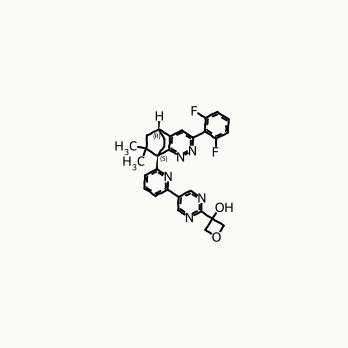 CC1(C)C[C@H]2CC[C@]1(c1cccc(-c3cnc(C4(O)COC4)nc3)n1)c1nnc(-c3c(F)cccc3F)cc12